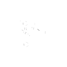 CC#CCN1CCC2(CC1C)C(N1CCC(Cc3ccccc3)C1)=NC(=O)N2c1cccc(F)c1